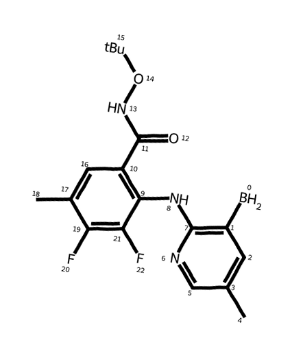 Bc1cc(C)cnc1Nc1c(C(=O)NOC(C)(C)C)cc(C)c(F)c1F